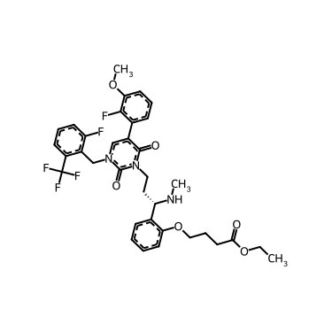 CCOC(=O)CCCOc1ccccc1[C@H](CCn1c(=O)c(-c2cccc(OC)c2F)cn(Cc2c(F)cccc2C(F)(F)F)c1=O)NC